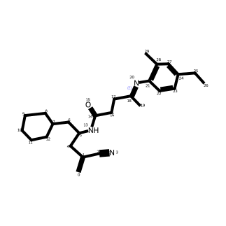 C=C(C#N)CC(CC1CCCCC1)NC(=O)CC/C(C)=N/c1ccc(CC)cc1C